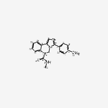 CCNC(=O)N1Cn2c(cnc2-c2ccc(OC)cc2)-c2ccccc21